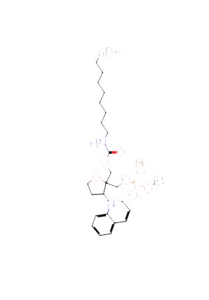 CCCCCCCCCCCCCCCCCCNC(=O)OCC1(COP(=O)(O)OCC)OCCC1[n+]1cccc2ccccc21